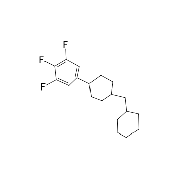 Fc1cc(C2CCC(CC3CCCCC3)CC2)cc(F)c1F